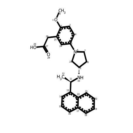 COc1ccc(N2CC[C@H](N[C@H](C)c3cccc4ccccc34)C2)cc1CC(=O)O